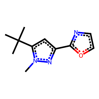 Cn1nc(-c2ncco2)cc1C(C)(C)C